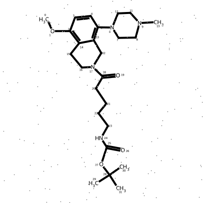 COc1ccc(N2CCN(C)CC2)c2c1CCN(C(=O)CCCCNC(=O)OC(C)(C)C)C2